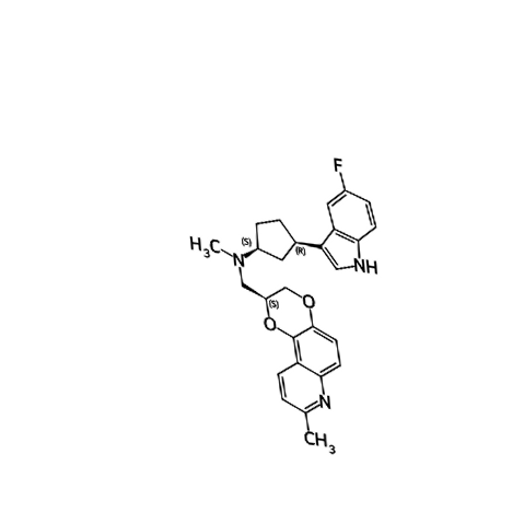 Cc1ccc2c3c(ccc2n1)OC[C@H](CN(C)[C@H]1CC[C@@H](c2c[nH]c4ccc(F)cc24)C1)O3